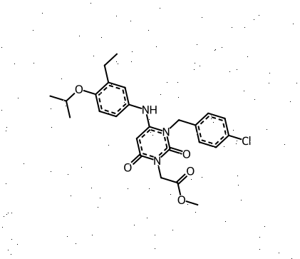 CCc1cc(Nc2cc(=O)n(CC(=O)OC)c(=O)n2Cc2ccc(Cl)cc2)ccc1OC(C)C